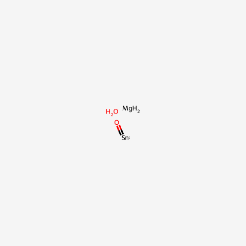 O.[MgH2].[O]=[Sn]